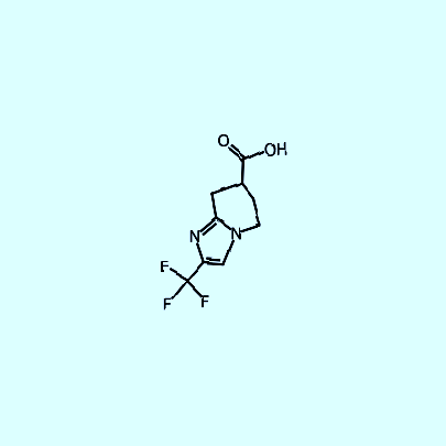 O=C(O)C1CCn2cc(C(F)(F)F)nc2C1